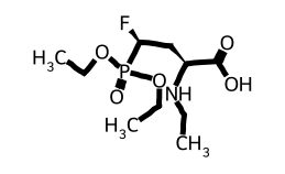 CCN[C@@H](C[C@H](F)P(=O)(OCC)OCC)C(=O)O